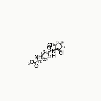 COC(=O)[C@@H](N)Cc1ccc(C(=O)Nc2c(Cl)cccc2Cl)cc1